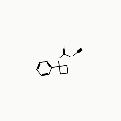 N#CNC(=N)NC1(c2ccccc2)CCC1